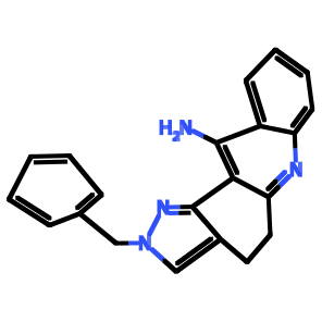 Nc1c2c(nc3ccccc13)CCc1cn(Cc3ccccc3)nc1-2